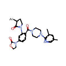 CC(=O)C1CCN(c2cc(N3CCOC3=O)ccc2C(=O)N2CCN(c3ncc(C)cc3C)CC2)C1=O